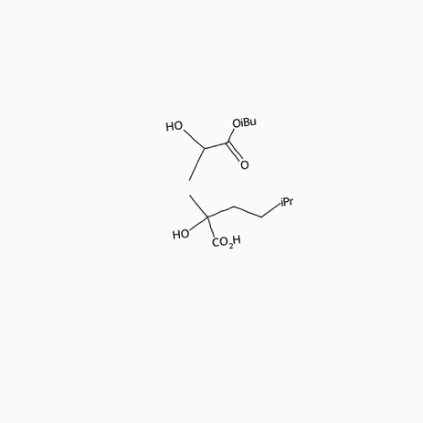 CC(C)CCC(C)(O)C(=O)O.CC(C)COC(=O)C(C)O